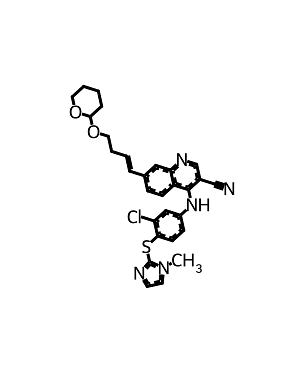 Cn1ccnc1Sc1ccc(Nc2c(C#N)cnc3cc(C=CCCOC4CCCCO4)ccc23)cc1Cl